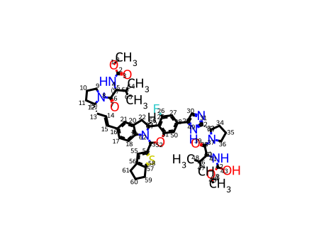 COC(=O)N[C@H](C(=O)N1CCC[C@H]1CC=Cc1ccc2c(c1)C[C@H]1c3c(F)cc(-c4cnc([C@@H]5CCCN5C(=O)[C@@H](NC(O)OC)C(C)C)[nH]4)cc3OC(c3cc4c(s3)CCC4)N21)C(C)C